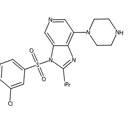 CC(C)c1nc2c(N3CCNCC3)cncc2n1S(=O)(=O)c1cccc(Cl)c1